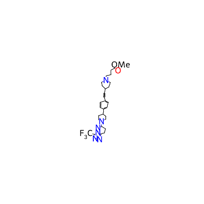 COC(=O)CCCN1CCC(C#Cc2ccc(C3CCN(C4=Nn5c(nnc5C(F)(F)F)CC4)CC3)cc2)CC1